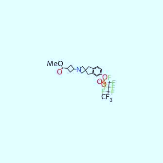 COC(=O)C1CC(N2CC3(Cc4ccc(OS(=O)(=O)C(F)(F)C(F)(F)C(F)(F)C(F)(F)F)cc4C3)C2)C1